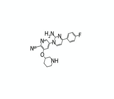 N#Cc1ncc(N2C=CC(c3ccc(F)cc3)=NC2N)cc1OC1CCCNC1